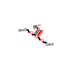 CC[O-].CC[O-].CC[O-].CC[O-].CC[O-].COCCOCCOCCOCCOC.[Nb+5]